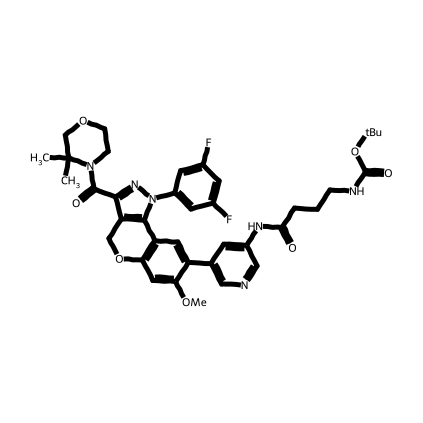 COc1cc2c(cc1-c1cncc(NC(=O)CCCNC(=O)OC(C)(C)C)c1)-c1c(c(C(=O)N3CCOCC3(C)C)nn1-c1cc(F)cc(F)c1)CO2